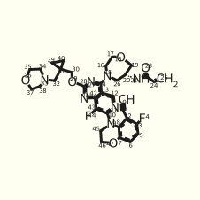 C#Cc1c(F)ccc2c1N(c1ncc3c(N4CCOC[C@H](NC(=O)C=C)C4)nc(OCC4(CN5CCOCC5)CC4)nc3c1F)CCO2